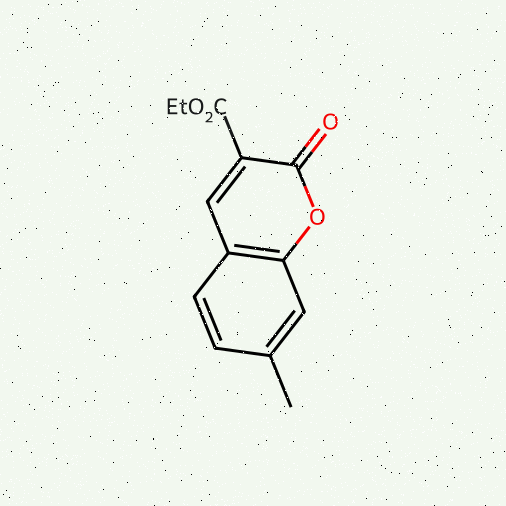 CCOC(=O)c1cc2ccc(C)cc2oc1=O